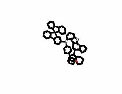 c1ccc(-c2ccc(N(c3ccc4c(c3)C3(c5ccccc5-c5ccccc53)c3ccccc3-4)c3cccc4oc5c6ccccc6c(-c6cccc7ccccc67)cc5c34)cc2)cc1